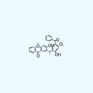 COc1cc(O)c(C(C)c2cc(C(=O)c3ccccc3)c(OC)cc2O)cc1C(=O)c1ccccc1